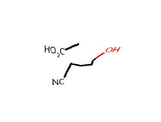 CC(=O)O.N#CCCO